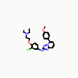 CCN(CC)CCOc1ccc(Nc2nc3cccc(-c4ccc(OC)cc4)n3n2)cc1Cl